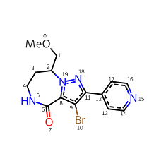 COCC1CCNC(=O)c2c(Br)c(-c3ccncc3)nn21